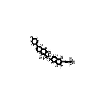 CC1CC=C(c2ccc3c(F)c(C(F)(F)Oc4ccc5c(F)c(C#CC(F)(F)F)c(F)cc5c4)c(F)cc3c2)CC1